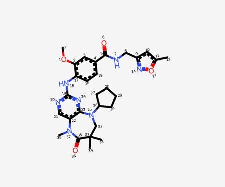 COc1cc(C(=O)NCc2cc(C)on2)ccc1Nc1ncc2c(n1)N(C1CCCC1)CC(C)(C)C(=O)N2C